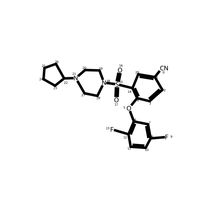 N#Cc1ccc(Oc2cc(F)ccc2F)c(S(=O)(=O)N2CCN(C3CCCC3)CC2)c1